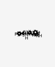 Fc1ccc(-c2cnc(Nc3cc(CC4CCC[C@@H]5CNC[C@H]45)ccn3)s2)cc1